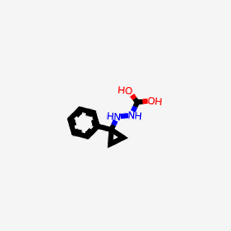 OC(O)NNC1(c2ccccc2)CC1